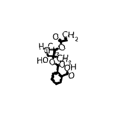 C=CC(=O)OC(C)C(C)(OC(=O)c1ccccc1C(=O)O)C(C)O